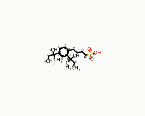 CCC(C)(C)c1ccc(CCCCS(=O)(=O)O)c(C(C)(C)CC)c1